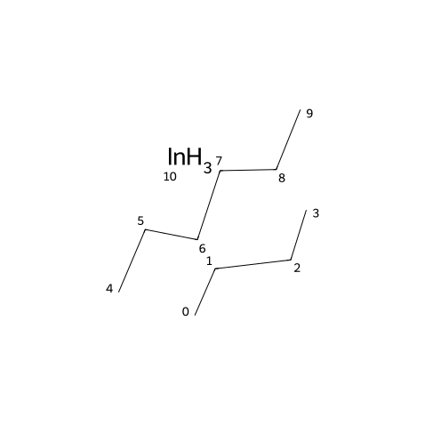 CCCC.CCCCCC.[InH3]